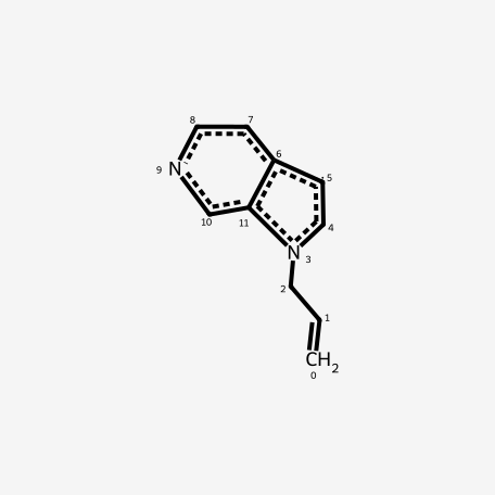 C=CCn1c[c]c2ccncc21